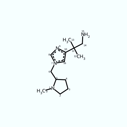 CN1CCCC1Cn1cnc(C(C)(C)CN)c1